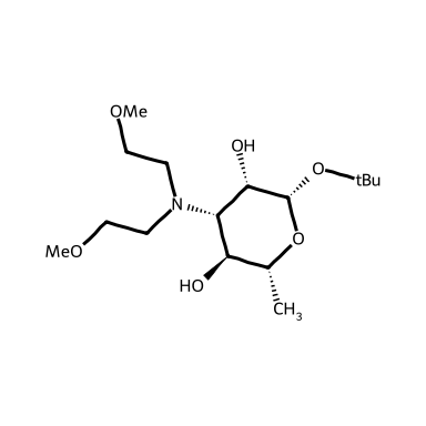 COCCN(CCOC)[C@@H]1[C@H](O)[C@H](OC(C)(C)C)O[C@H](C)[C@H]1O